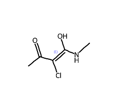 CN/C(O)=C(\Cl)C(C)=O